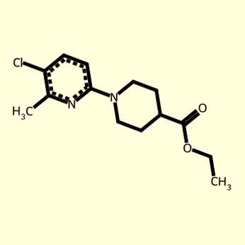 CCOC(=O)C1CCN(c2ccc(Cl)c(C)n2)CC1